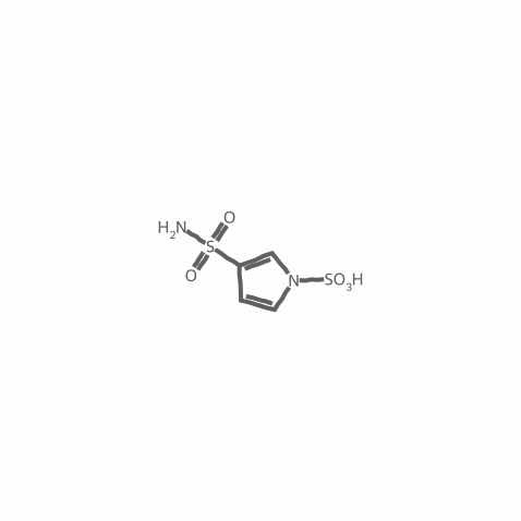 NS(=O)(=O)c1ccn(S(=O)(=O)O)c1